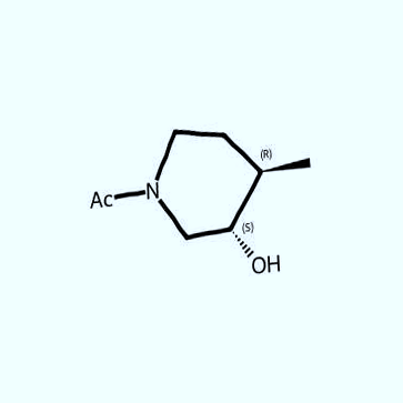 CC(=O)N1CC[C@@H](C)[C@H](O)C1